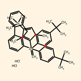 Cl.Cl.[CH2]=[Zr]([C]1=C(C)C([Si](C)(C)C)=CC1C)([c]1ccc(C(C)(C)C)cc1)([c]1ccc(C(C)(C)C)cc1)[c]1cccc2c1Cc1ccccc1-2